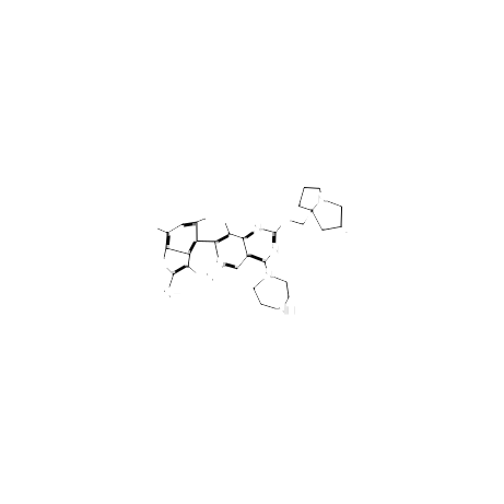 N#Cc1c(N)sc2c(F)cc(F)c(-c3ncc4c(N5CCNCC5)nc(OC[C@@]56CCCN5C[C@H](F)C6)nc4c3F)c12